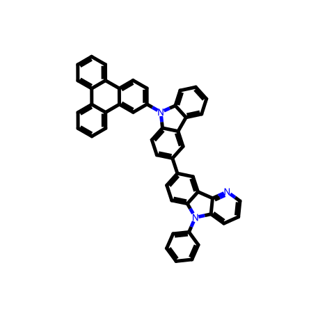 c1ccc(-n2c3ccc(-c4ccc5c(c4)c4ccccc4n5-c4ccc5c6ccccc6c6ccccc6c5c4)cc3c3ncccc32)cc1